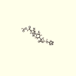 CC(=O)OCC(=O)N1C[C@@H]2C[C@H]1CN2c1ccc(N2C[C@H](COc3cnsn3)OC2=O)cc1F